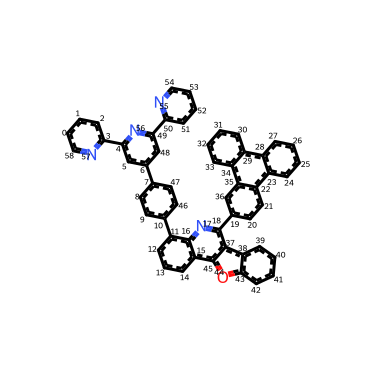 c1ccc(-c2cc(-c3ccc(-c4cccc5c4nc(-c4ccc6c7ccccc7c7ccccc7c6c4)c4c6ccccc6oc54)cc3)cc(-c3ccccn3)n2)nc1